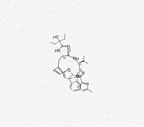 CCC(O)(CC)C(=O)N[C@H]1Cc2ccc3c(c2)C2(c4ccccc4NC2O3)c2oc(nc2-c2nc(C)co2)[C@H](C(C)C)NC1=O